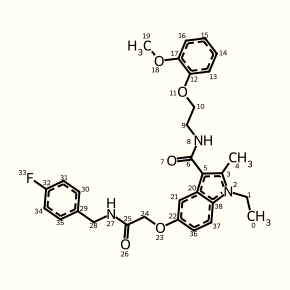 CCn1c(C)c(C(=O)NCCOc2ccccc2OC)c2cc(OCC(=O)NCc3ccc(F)cc3)ccc21